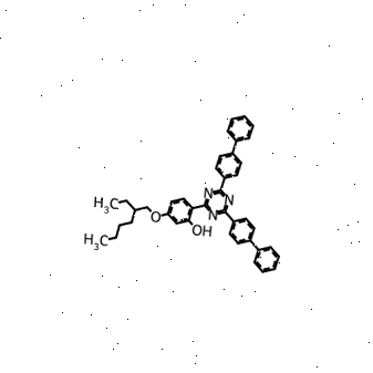 CCCCC(CC)COc1ccc(-c2nc(-c3ccc(-c4ccccc4)cc3)nc(-c3ccc(-c4ccccc4)cc3)n2)c(O)c1